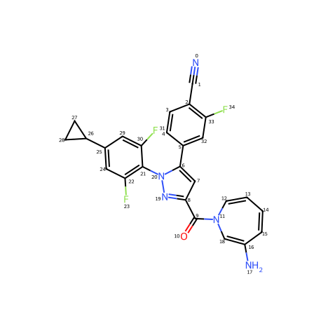 N#Cc1ccc(-c2cc(C(=O)N3C=CC=CC(N)=C3)nn2-c2c(F)cc(C3CC3)cc2F)cc1F